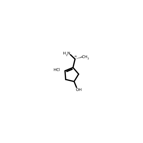 C[C@@H](N)C1=CCC(O)C1.Cl